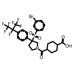 O=C(O)C1CCC(C(=O)N2CCC(c3ccc(C(F)(C(F)(F)F)C(F)(F)F)cc3)(S(=O)(=O)c3cccc(Br)c3)C2)CC1